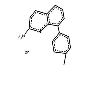 Cc1ccc(-c2cccc3ccc(N)nc23)cc1.[Zn]